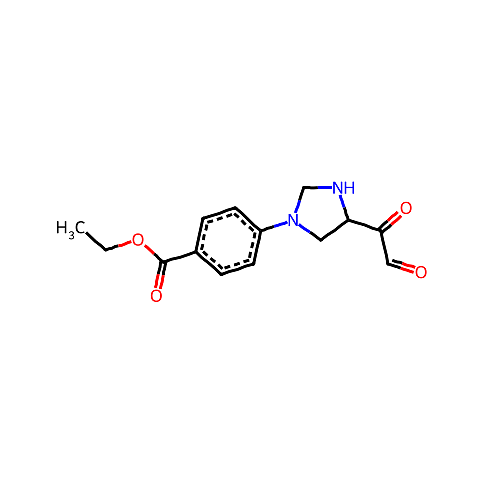 CCOC(=O)c1ccc(N2CNC(C(=O)C=O)C2)cc1